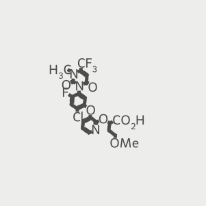 COCCC(Oc1ncccc1Oc1cc(-n2c(=O)cc(C(F)(F)F)n(C)c2=O)c(F)cc1Cl)C(=O)O